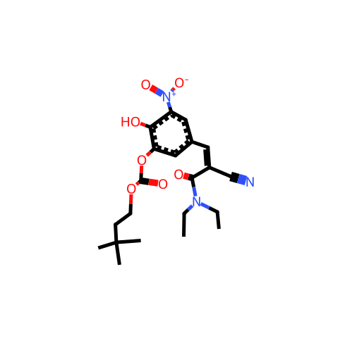 CCN(CC)C(=O)C(C#N)=Cc1cc(OC(=O)OCCC(C)(C)C)c(O)c([N+](=O)[O-])c1